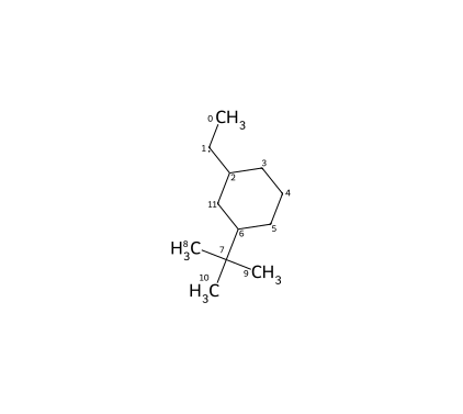 C[CH]C1CCCC(C(C)(C)C)C1